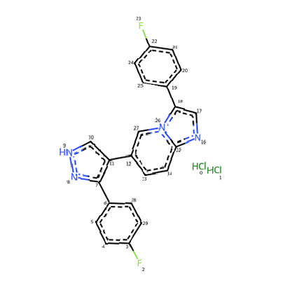 Cl.Cl.Fc1ccc(-c2n[nH]cc2-c2ccc3ncc(-c4ccc(F)cc4)n3c2)cc1